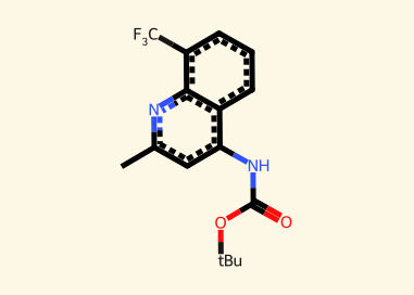 Cc1cc(NC(=O)OC(C)(C)C)c2cccc(C(F)(F)F)c2n1